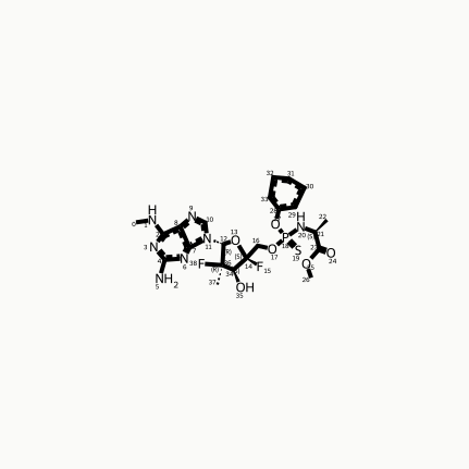 CNc1nc(N)nc2c1ncn2[C@@H]1O[C@](F)(COP(=S)(N[C@@H](C)C(=O)OC)Oc2ccccc2)[C@@H](O)[C@@]1(C)F